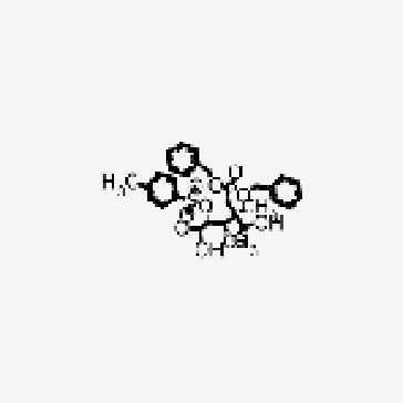 Cc1ccc(S(=O)(=O)O[C@@H](C(=O)O)C(C)[C@@](C)(CP(=O)(OCc2ccccc2)OCc2ccccc2)C(=O)O)cc1